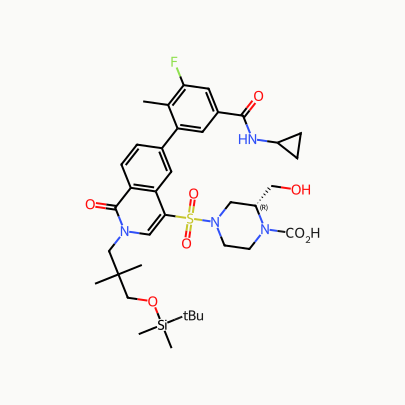 Cc1c(F)cc(C(=O)NC2CC2)cc1-c1ccc2c(=O)n(CC(C)(C)CO[Si](C)(C)C(C)(C)C)cc(S(=O)(=O)N3CCN(C(=O)O)[C@@H](CO)C3)c2c1